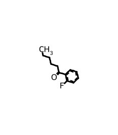 CCCCCC(=O)c1ccccc1F